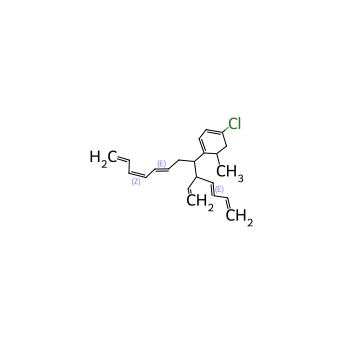 C=C/C=C\C=C\CC(C1=CC=C(Cl)CC1C)C(C=C)/C=C/C=C